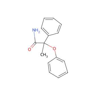 CC(Oc1ccccc1)(C(N)=O)c1ccccc1